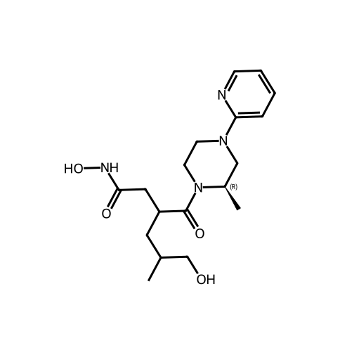 CC(CO)CC(CC(=O)NO)C(=O)N1CCN(c2ccccn2)C[C@H]1C